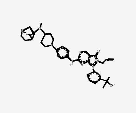 C=CCn1c(=O)c2cnc(Nc3ccc(N4CCC(N(C)C5CN6CCC5CC6)CC4)cc3)nc2n1-c1cccc(C(C)(C)O)n1